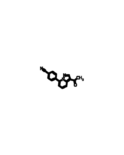 CC(=O)c1cnn2c(-c3ccc(C#N)cc3)cccc12